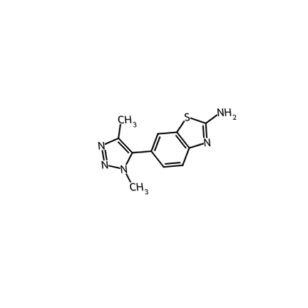 Cc1nnn(C)c1-c1ccc2nc(N)sc2c1